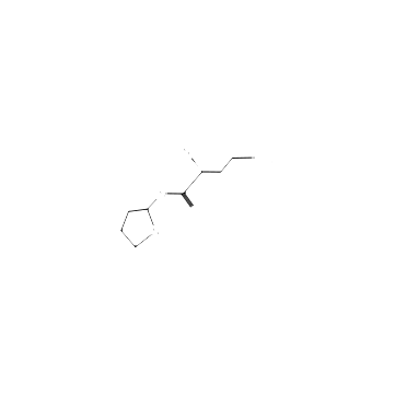 CCC[C@H](N)C(=O)NC1CCC[N]1